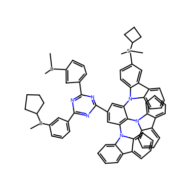 CB(C)c1cccc(-c2nc(-c3cccc(B(C)C4CCCC4)c3)nc(-c3cc(-n4c5ccccc5c5ccccc54)c(-n4c5ccccc5c5ccccc54)c(-n4c5ccccc5c5cc([Si](C)(C)C6CCC6)ccc54)c3)n2)c1